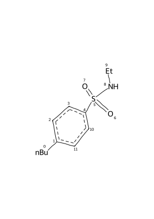 CCCCc1ccc(S(=O)(=O)NCC)cc1